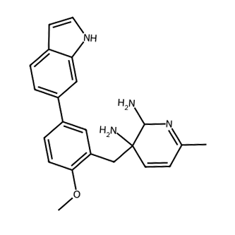 COc1ccc(-c2ccc3cc[nH]c3c2)cc1CC1(N)C=CC(C)=NC1N